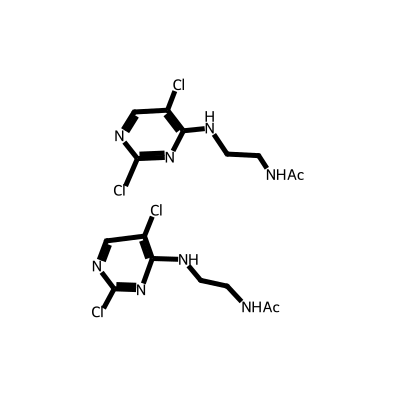 CC(=O)NCCNc1nc(Cl)ncc1Cl.CC(=O)NCCNc1nc(Cl)ncc1Cl